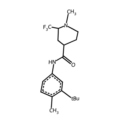 Cc1ccc(NC(=O)C2CCN(C)C(C(F)(F)F)C2)cc1C(C)(C)C